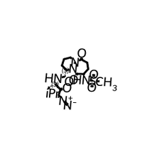 CC(C)C[C@H](NC(=O)[C@@H]1CCCN2C(=O)CCC(NS(C)(=O)=O)C(=O)N12)C(=O)C=[N+]=[N-]